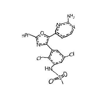 CCCc1nc(-c2cc(Cl)cc(NS(C)(=O)=O)c2Cl)c(-c2ccnc(N)n2)o1